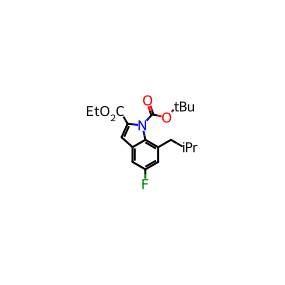 CCOC(=O)c1cc2cc(F)cc(CC(C)C)c2n1C(=O)OC(C)(C)C